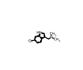 CN(C)Cc1c[nH]c2cc(Cl)ccc12